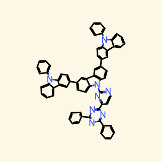 c1ccc(-c2nc(-c3ccccc3)nc(-c3ccnc(-n4c5ccc(-c6ccc7c(c6)c6ccccc6n7-c6ccccc6)cc5c5cc(-c6ccc7c(c6)c6ccccc6n7-c6ccccc6)ccc54)n3)n2)cc1